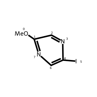 COc1cnc(I)cn1